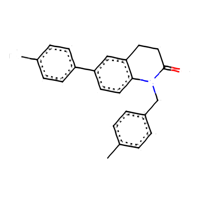 Cc1ccc(CN2C(=O)CCc3cc(-c4ccc(C(F)(F)F)cc4)ccc32)cc1